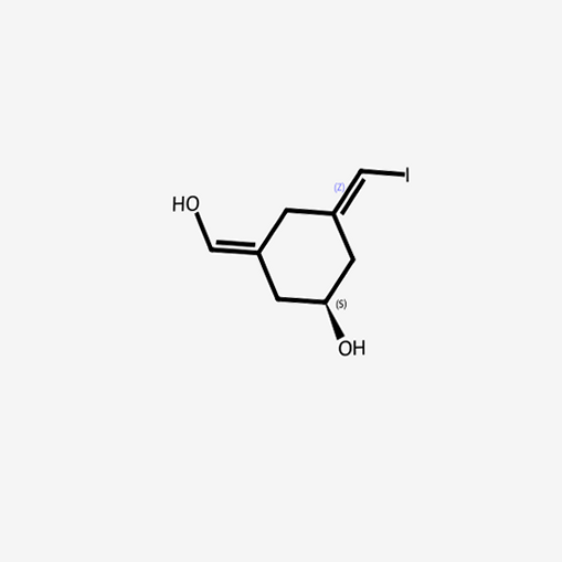 OC=C1C/C(=C/I)C[C@@H](O)C1